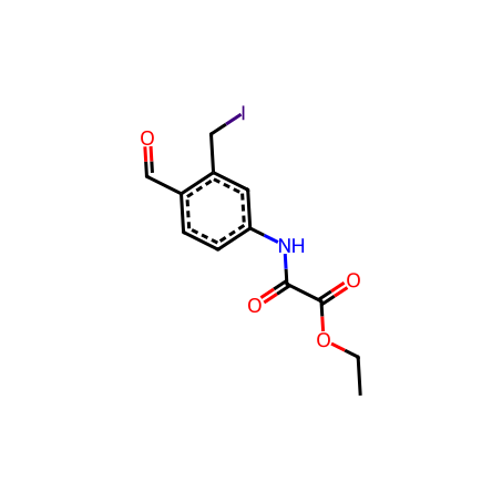 CCOC(=O)C(=O)Nc1ccc(C=O)c(CI)c1